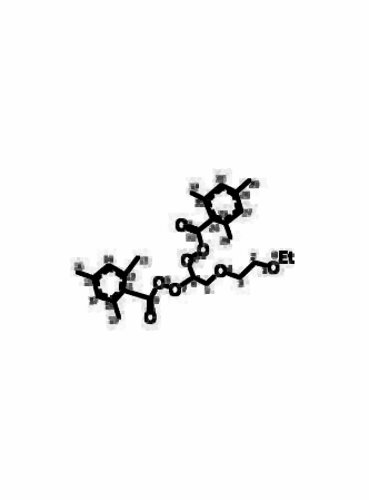 [CH2]COCCOC[C](OOC(=O)c1c(C)cc(C)cc1C)OOC(=O)c1c(C)cc(C)cc1C